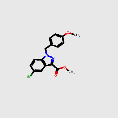 COC(=O)c1nn(Cc2ccc(OC)cc2)c2ccc(Br)cc12